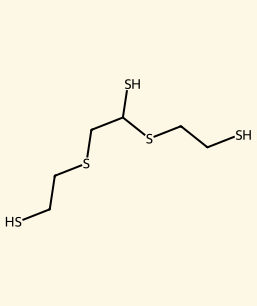 SCCSCC(S)SCCS